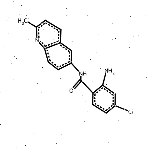 Cc1ccc2cc(NC(=O)c3ccc(Cl)cc3N)ccc2n1